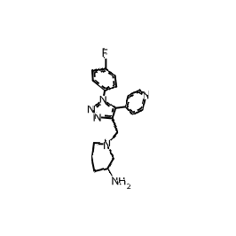 NC1CCCN(Cc2nnn(-c3ccc(F)cc3)c2-c2ccncc2)C1